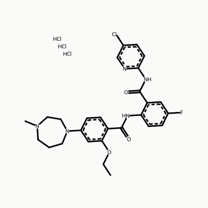 CCOc1cc(N2CCCN(C)CC2)ccc1C(=O)Nc1ccc(F)cc1C(=O)Nc1ccc(Cl)cn1.Cl.Cl.Cl